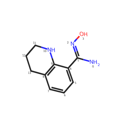 NC(=NO)c1cccc2c1NCCC2